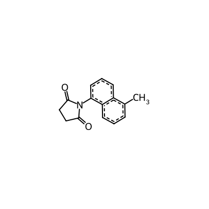 Cc1cccc2c(N3C(=O)CCC3=O)cccc12